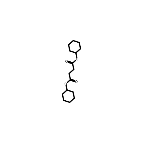 O=C(CCC(=O)OC1CCCCC1)OC1CCCCC1